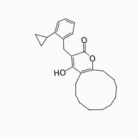 O=c1oc2c(c(O)c1Cc1ccccc1C1CC1)CCCCCCCCCC2